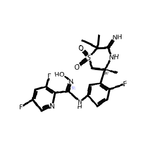 CC1(C)C(=N)N[C@](C)(c2cc(N/C(=N/O)c3ncc(F)cc3F)ccc2F)CS1(=O)=O